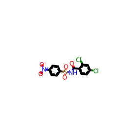 O=C(NS(=O)(=O)c1ccc([N+](=O)[O-])cc1)c1ccc(Cl)cc1Cl